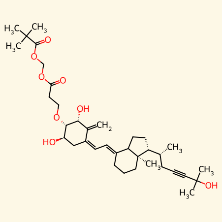 C=C1/C(=C\C=C2/CCC[C@@]3(C)C2CC[C@@H]3[C@H](C)CC#CC(C)(C)O)C[C@@H](O)[C@H](OCCC(=O)OCOC(=O)C(C)(C)C)[C@@H]1O